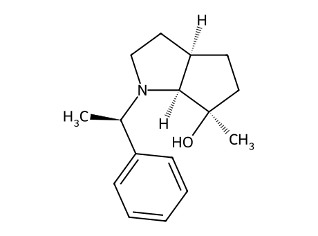 C[C@H](c1ccccc1)N1CC[C@H]2CC[C@@](C)(O)[C@H]21